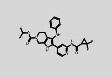 CC(C)OC(=O)N1CCc2c([nH]c(-c3ccnc(NC(=O)C4CC4(F)F)c3)c2Nc2ccccc2)C1